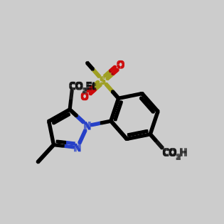 CCOC(=O)c1cc(C)nn1-c1cc(C(=O)O)ccc1S(C)(=O)=O